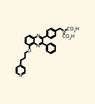 O=C(O)N(Cc1ccc(-c2nc3cccc(OCCCc4ccncc4)c3nc2-c2ccccc2)cc1)C(=O)O